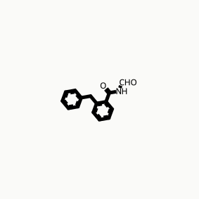 O=CNC(=O)c1ccccc1Cc1ccccc1